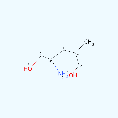 CC(CO)CC(N)CO